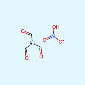 O=[CH][Ru]([CH]=O)[CH]=O.O=[N+]([O-])O